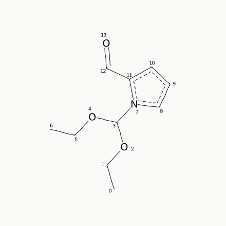 CCOC(OCC)n1cccc1C=O